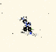 CN(Cc1ccc(-c2c(-c3ccc(C#N)cc3)nc(N3CCC(N(C)C)CC3)c3cncn23)cc1F)C(=O)O